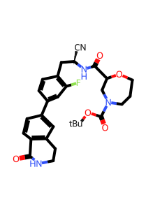 CC(C)(C)OC(=O)N1CCCOC(C(=O)N[C@H](C#N)Cc2ccc(-c3ccc4c(c3)CCNC4=O)cc2F)C1